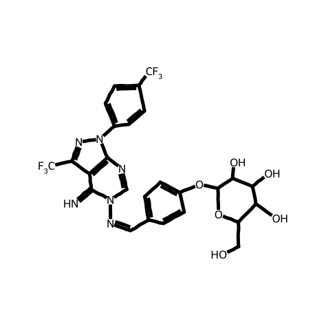 N=c1c2c(C(F)(F)F)nn(-c3ccc(C(F)(F)F)cc3)c2ncn1/N=C\c1ccc(OC2OC(CO)C(O)C(O)C2O)cc1